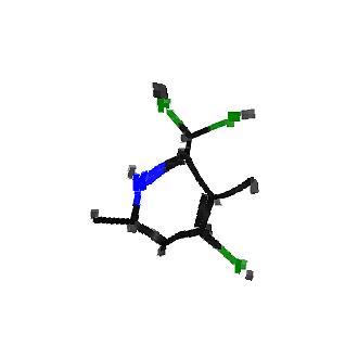 CC1=C(F)CC(C)N=C1C(F)F